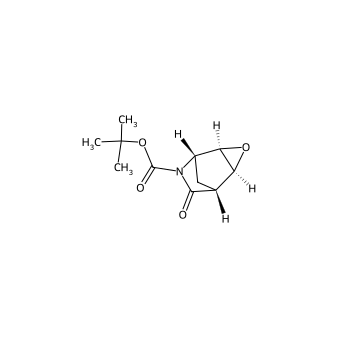 CC(C)(C)OC(=O)N1C(=O)[C@@H]2C[C@H]1[C@H]1O[C@H]12